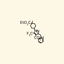 CCOC(=O)C1(C)CCC(n2nc(Cc3ccccc3)c(C(=O)O)c2C(F)(F)F)CC1